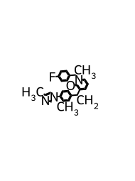 C=C(c1ccc(-n2cnc(C)c2)c(C)c1)c1cccn(C(C)c2ccc(F)cc2)c1=O